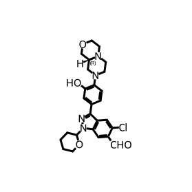 O=Cc1cc2c(cc1Cl)c(-c1ccc(N3CCN4CCOC[C@H]4C3)c(O)c1)nn2C1CCCCO1